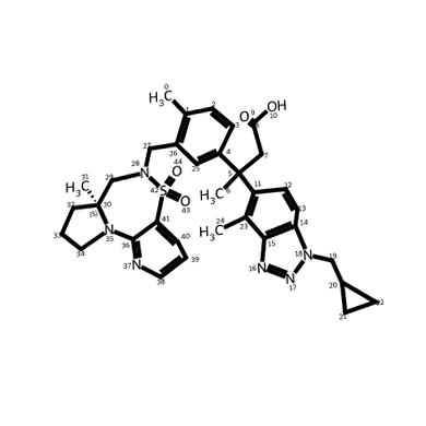 Cc1ccc(C(C)(CC(=O)O)c2ccc3c(nnn3CC3CC3)c2C)cc1CN1C[C@]2(C)CCCN2c2ncccc2S1(=O)=O